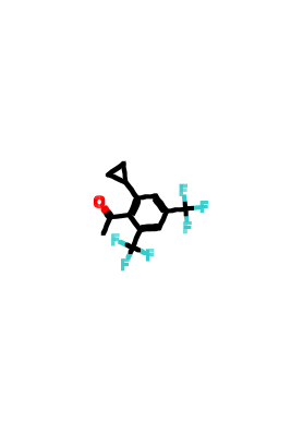 CC(=O)c1c(C2CC2)cc(C(F)(F)F)cc1C(F)(F)F